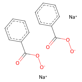 O=C(O[O-])c1ccccc1.O=C(O[O-])c1ccccc1.[Na+].[Na+]